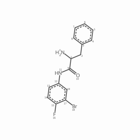 NC(Cc1ccccc1)C(=O)Nc1ccc(F)c(Br)c1